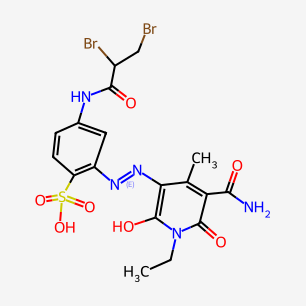 CCn1c(O)c(/N=N/c2cc(NC(=O)C(Br)CBr)ccc2S(=O)(=O)O)c(C)c(C(N)=O)c1=O